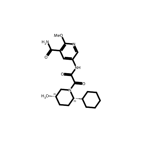 COc1ncc(NC(=O)C(=O)N2C[C@@H](C)CC[C@H]2C2CCCCC2)cc1C(N)=O